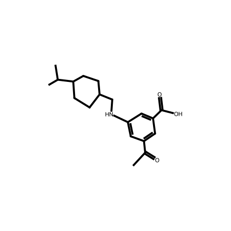 CC(=O)c1cc(NCC2CCC(C(C)C)CC2)cc(C(=O)O)c1